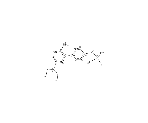 CCN(CC)c1ccc(N)c(-c2ccc(OC(F)(F)F)cc2)c1